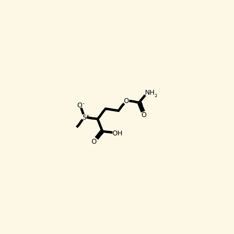 C[S+]([O-])C(CCOC(N)=O)C(=O)O